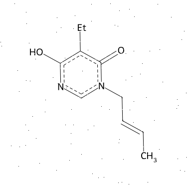 CC=CCn1cnc(O)c(CC)c1=O